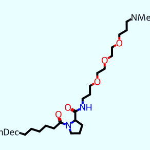 CCCCCCCCCCCCCCCC(=O)N1CCCC1C(=O)NCCCOCCOCCOCCCNC